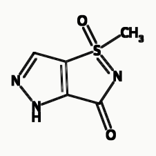 CS1(=O)=NC(=O)c2[nH]ncc21